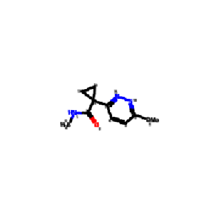 BNC(=O)C1(c2ccc(OC)nn2)CC1